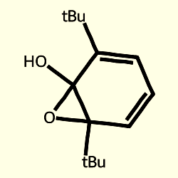 CC(C)(C)C1=CC=CC2(C(C)(C)C)OC12O